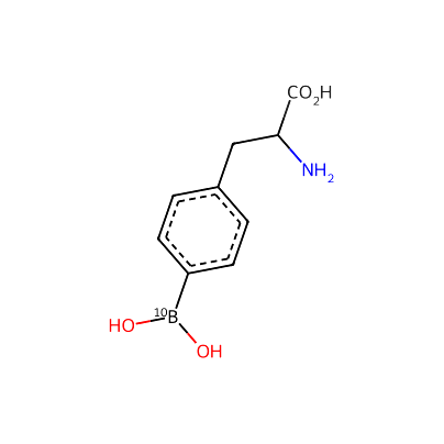 NC(Cc1ccc([10B](O)O)cc1)C(=O)O